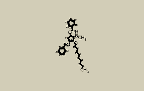 CCCCCCCCCO[C@H]1[C@H](NC)[C@@H](OCc2ccccc2)C[C@H]1OCc1ccccc1